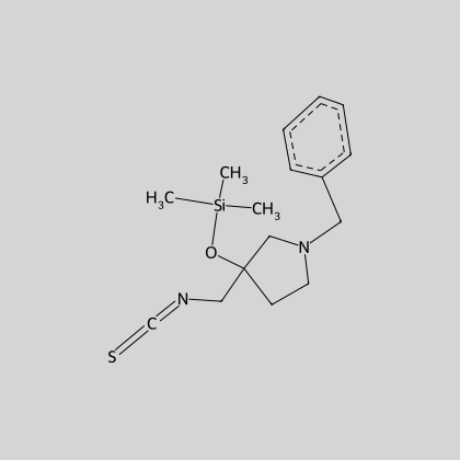 C[Si](C)(C)OC1(CN=C=S)CCN(Cc2ccccc2)C1